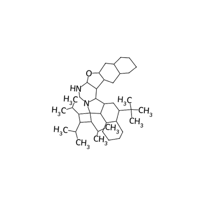 CC(C)C1C(C(C)C)C2(C3C4CCCCC4C(C(C)(C)C)CC3C3C4C(NCN32)OC2CC3CCCCC3CC24)C1C(C)C